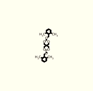 Cc1cccc(C)c1COP1OCC2(CO1)COP(OCc1c(C)cccc1C)OC2